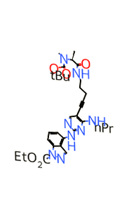 CCCNc1nc(Nc2cccc3c2cnn3C(=O)OCC)ncc1C#CCCCNC(=O)[C@H](C)N(C)C(=O)OC(C)(C)C